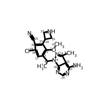 COc1c([C@H](C)n2nc(C)c3c(N)ncnc32)cc(Cl)c(C#N)c1C1CNC1